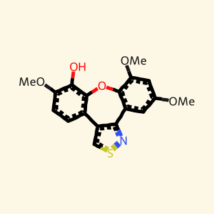 COc1cc(OC)c2c(c1)-c1nscc1-c1ccc(OC)c(O)c1O2